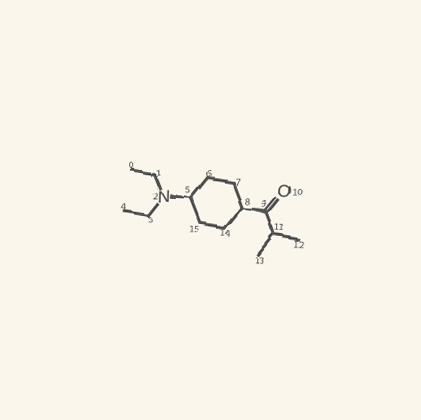 CCN(CC)[C@H]1CC[C@@H](C(=O)C(C)C)CC1